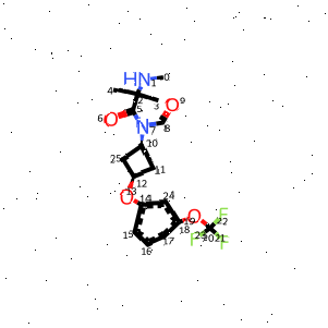 CNC(C)(C)C(=O)N(C=O)[C@H]1C[C@@H](Oc2cccc(OC(F)(F)F)c2)C1